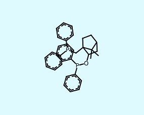 CC1(C)C2CCC1(CP(c1ccccc1)c1ccccc1)C(OP(c1ccccc1)c1ccccc1)C2